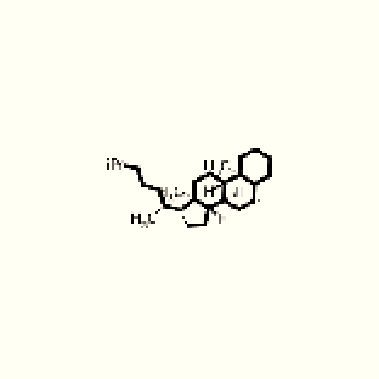 CC(C)CCC[C@@H](C)[C@H]1CC[C@H]2[C@@H]3C[CH]C4CCCC[C@]4(C)[C@H]3CC[C@]12C